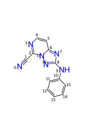 N#Cc1nccc2nc(Nc3ccccc3)nn12